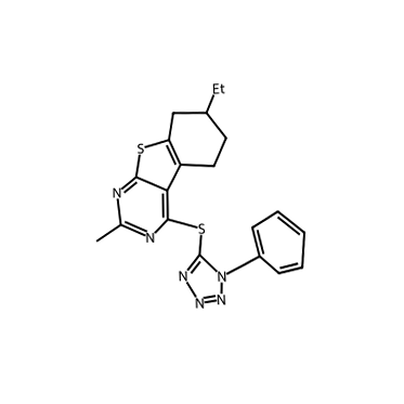 CCC1CCc2c(sc3nc(C)nc(Sc4nnnn4-c4ccccc4)c23)C1